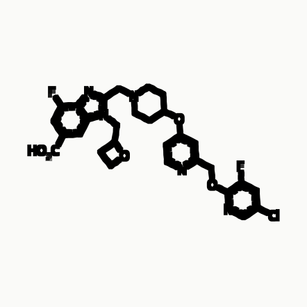 O=C(O)c1cc(F)c2nc(CN3CCC(Oc4ccnc(COc5ncc(Cl)cc5F)c4)CC3)n(CC3CCO3)c2c1